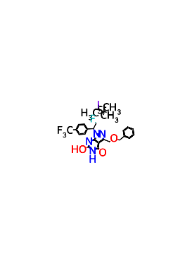 C[Si](C)(C)I.O=c1[nH]c(O)nc2c1c(COCc1ccccc1)nn2C(CF)c1ccc(C(F)(F)F)cc1